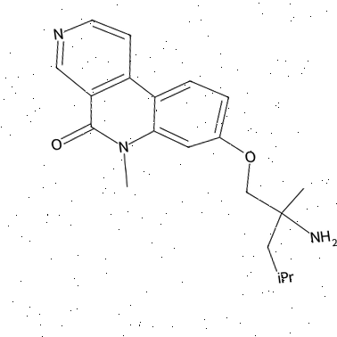 CC(C)CC(C)(N)COc1ccc2c3ccncc3c(=O)n(C)c2c1